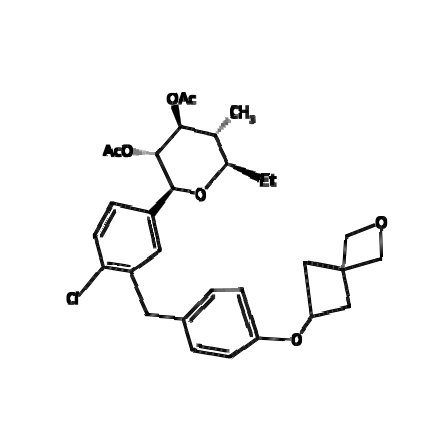 CC[C@H]1O[C@@H](c2ccc(Cl)c(Cc3ccc(OC4CC5(COC5)C4)cc3)c2)[C@H](OC(C)=O)[C@@H](OC(C)=O)[C@@H]1C